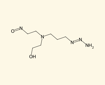 NN=NCCCN(CCO)CCN=O